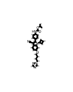 CC(C)OC(=O)Nc1ccc(-c2c(C#N)c3ccc(OCCCCn4cncn4)cc3n2C2CCC2)cc1